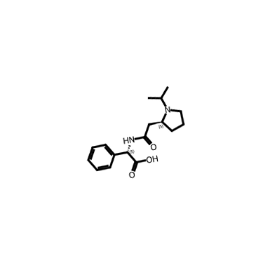 CC(C)N1CCC[C@H]1CC(=O)N[C@H](C(=O)O)c1ccccc1